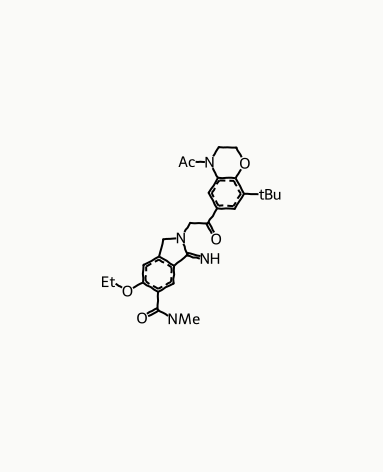 CCOc1cc2c(cc1C(=O)NC)C(=N)N(CC(=O)c1cc3c(c(C(C)(C)C)c1)OCCN3C(C)=O)C2